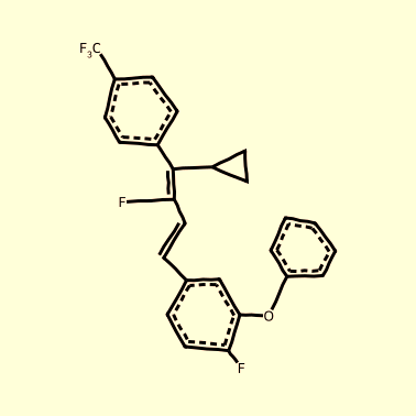 FC(/C=C/c1ccc(F)c(Oc2ccccc2)c1)=C(\c1ccc(C(F)(F)F)cc1)C1CC1